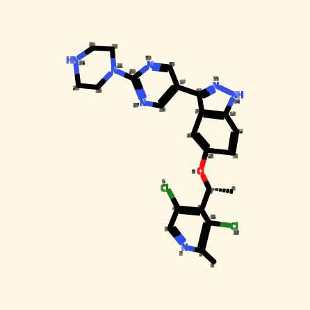 Cc1ncc(Cl)c([C@@H](C)Oc2ccc3[nH]nc(-c4cnc(N5CCNCC5)nc4)c3c2)c1Cl